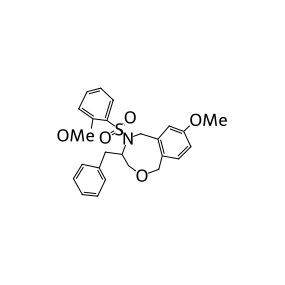 COc1ccc2c(c1)CN(S(=O)(=O)c1ccccc1OC)C(Cc1ccccc1)COC2